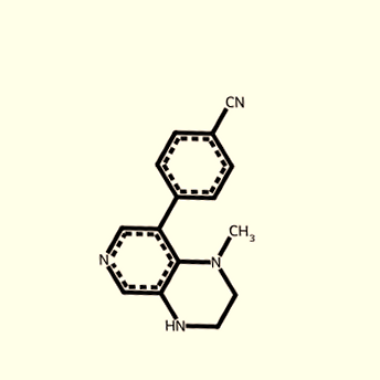 CN1CCNc2cncc(-c3ccc(C#N)cc3)c21